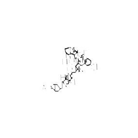 CC(=O)N1CCC(CN2C[C@@H]3CN(C(=O)Cn4cc(NC(O)c5cnn6cccnc56)c(-c5cc(Cl)ccc5OC(F)F)n4)C[C@@H]3C2)CC1